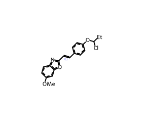 CCC(Cl)Oc1ccc(/C=C/c2nc3ccc(OC)cc3o2)cc1